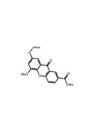 CCCCCCOc1cc(SC)c2oc3ccc(C(=O)OC)cc3c(=O)c2c1